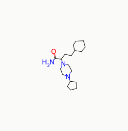 NC(=O)C(CCC1CCCCC1)N1CCN(C2CCCC2)CC1